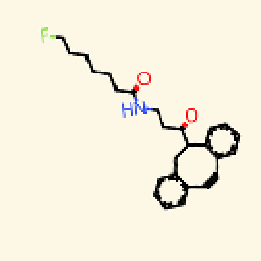 O=C(CCCCCCF)NCCC(=O)C1Cc2ccccc2C#Cc2ccccc21